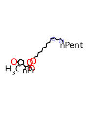 CCCCC/C=C\C/C=C\CCCCCCCCOOC(=O)C(CCC)C1CCC(=O)C1C